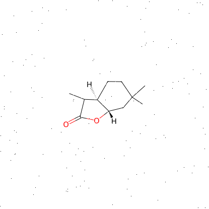 CC1C(=O)O[C@H]2CC(C)(C)CC[C@H]12